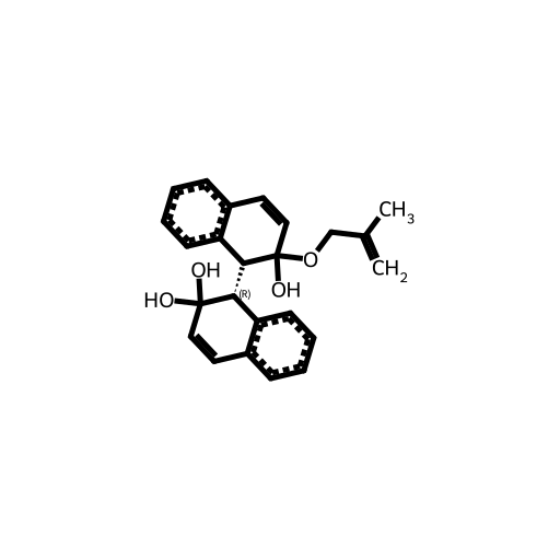 C=C(C)COC1(O)C=Cc2ccccc2C1[C@@H]1c2ccccc2C=CC1(O)O